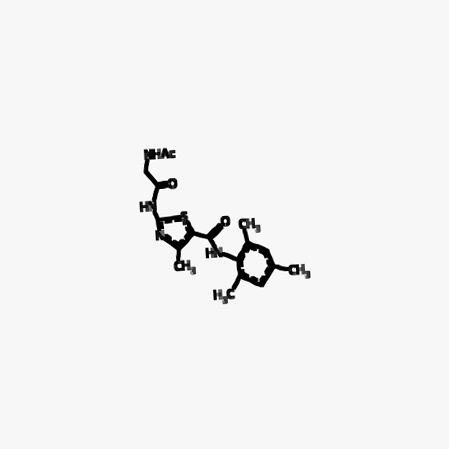 CC(=O)NCC(=O)Nc1nc(C)c(C(=O)Nc2c(C)cc(C)cc2C)s1